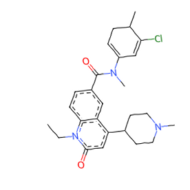 CCn1c(=O)cc(C2CCN(C)CC2)c2cc(C(=O)N(C)C3=CCC(C)C(Cl)=C3)ccc21